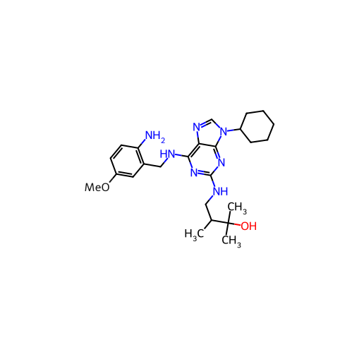 COc1ccc(N)c(CNc2nc(NCC(C)C(C)(C)O)nc3c2ncn3C2CCCCC2)c1